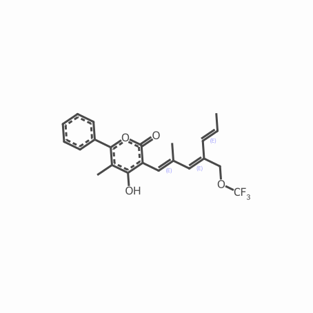 C/C=C/C(=C\C(C)=C\c1c(O)c(C)c(-c2ccccc2)oc1=O)COC(F)(F)F